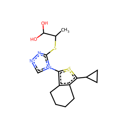 CC(Sc1nncn1-c1sc(C2CC2)c2c1CCCC2)C(O)O